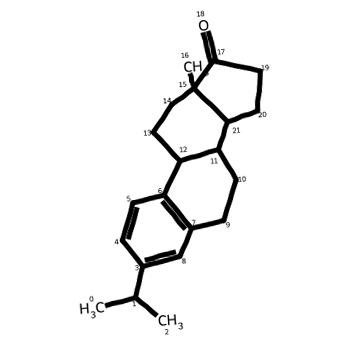 CC(C)c1ccc2c(c1)CCC1C2CCC2(C)C(=O)CCC12